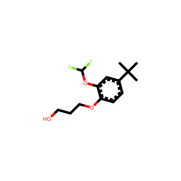 CC(C)(C)c1ccc(OCCCO)c(OC(F)F)c1